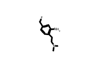 CN(C)CCc1ccc(CF)cc1N